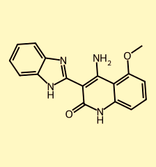 COc1cccc2[nH]c(=O)c(-c3nc4ccccc4[nH]3)c(N)c12